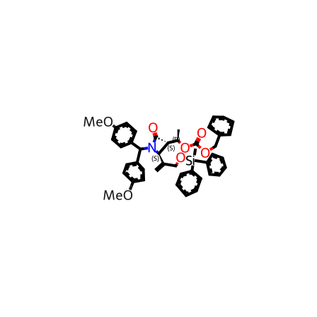 C=C(CO[Si](C)(c1ccccc1)c1ccccc1)[C@@H]1[C@@H]([C@@H](C)OC(=O)OCc2ccccc2)C(=O)N1C(c1ccc(OC)cc1)c1ccc(OC)cc1